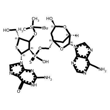 CC(C)(C)[Si](C)(C)OC1[C@@H](P(O)(=S)OC[C@]23C[C@@H](O)O[C@H](C2)[C@H](n2cnc4c(N)ncnc42)O3)[C@H](n2cnc3c(=O)[nH]c(N)nc32)S[C@@H]1CO